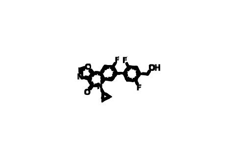 O=c1c2ncoc2c2cc(F)c(-c3cc(F)c(CO)cc3F)cc2n1C1CC1